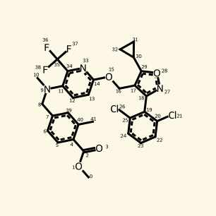 COC(=O)c1ccc(CN(C)c2ccc(OCc3c(-c4c(Cl)cccc4Cl)noc3C3CC3)nc2C(F)(F)F)cc1C